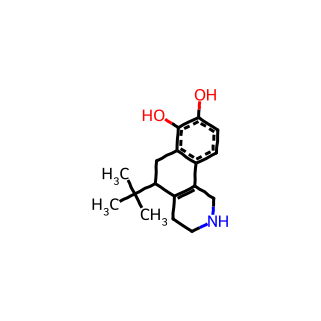 CC(C)(C)C1Cc2c(ccc(O)c2O)C2=C1CCNC2